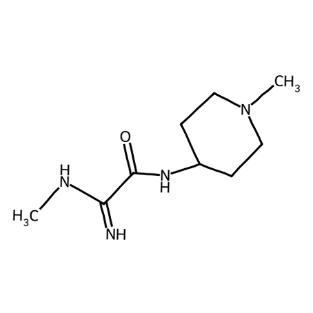 CNC(=N)C(=O)NC1CCN(C)CC1